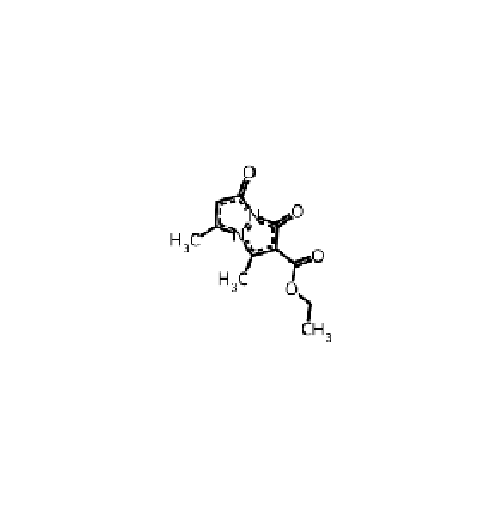 CCOC(=O)c1c(C)n2c(C)cc(=O)n2c1=O